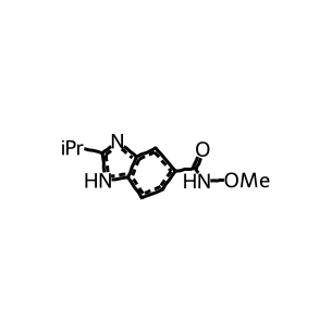 CONC(=O)c1ccc2[nH]c(C(C)C)nc2c1